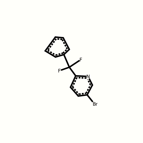 FC(F)(c1ccccc1)c1ccc(Br)cn1